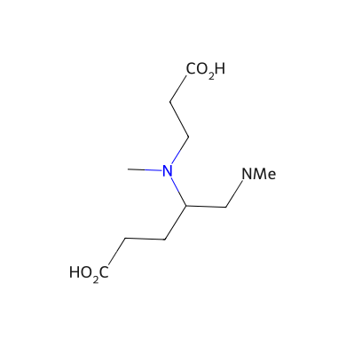 CNCC(CCC(=O)O)N(C)CCC(=O)O